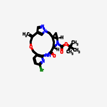 C=C1COCc2ccc(Br)nc2NC(=O)[C@@H]2C[C@]3(C[C@H]3N2C(=O)OC(C)(C)C)Cn2cc1cn2